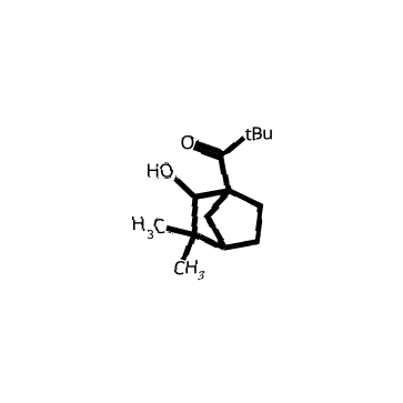 CC(C)(C)C(=O)C12CCC(C1)C(C)(C)C2O